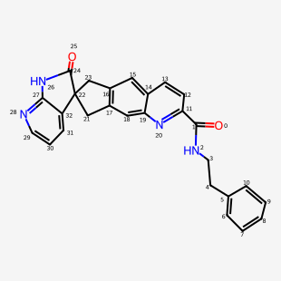 O=C(NCCc1ccccc1)c1ccc2cc3c(cc2n1)CC1(C3)C(=O)Nc2ncccc21